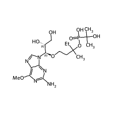 CCC(C)(CCO[C@H]([C@H](O)CO)n1cnc2c(OC)nc(N)nc21)OP(=O)(O)C(C)(C)O